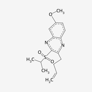 C=CCCc1nc2ccc(OC)cc2nc1S(=O)(=O)C(C)C